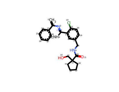 C=C(/N=C(\NC(C)=O)c1cc(CNC(=O)C2(CO)CCCC2)ccc1Cl)c1ccccc1